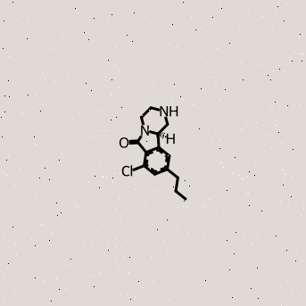 CCCc1cc(Cl)c2c(c1)[C@@H]1CNCCN1C2=O